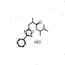 CC(Cc1nc(-c2ccccc2)no1)C(=O)SC(C)N(C)C.Cl